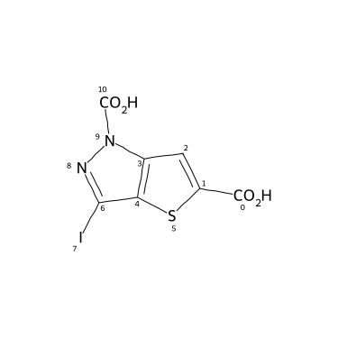 O=C(O)c1cc2c(s1)c(I)nn2C(=O)O